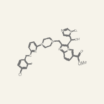 CCn1cncc1C(O)c1c(CN2CCN(c3cccc(OCc4ccc(Cl)cc4F)n3)CC2)nc2ccc(C(=O)OC)cn12